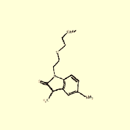 COCCOCCN1C(=O)C(C)c2cc(N)ccc21